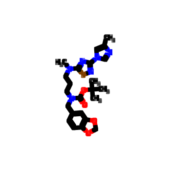 Cc1cn(-c2nsc(N(C)CCCN(Cc3ccc4c(c3)OCO4)C(=O)OC(C)(C)C)n2)cn1